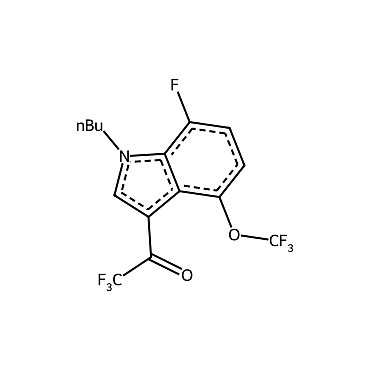 CCCCn1cc(C(=O)C(F)(F)F)c2c(OC(F)(F)F)ccc(F)c21